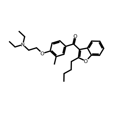 CCCCc1oc2ccccc2c1C(=O)c1ccc(OCCN(CC)CC)c(C)c1